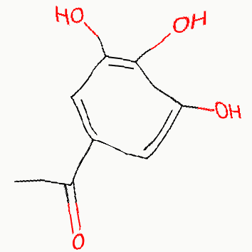 CC(=O)c1cc(O)c(O)c(O)c1